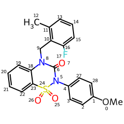 COc1ccc(N2C(=O)N(Cc3c(C)cccc3F)c3ccccc3S2(=O)=O)cc1